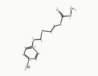 COC(=O)CCCCCSc1ccc(O)cc1